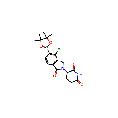 CC1(C)OB(c2ccc3c(c2F)CN(C2CCC(=O)NC2=O)C3=O)OC1(C)C